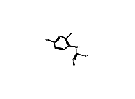 CN=C(N)Nc1ccc(Br)cc1C